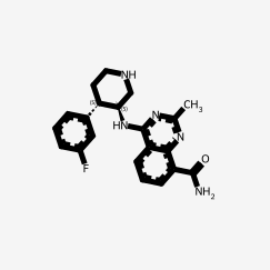 Cc1nc(N[C@@H]2CNCC[C@H]2c2cccc(F)c2)c2cccc(C(N)=O)c2n1